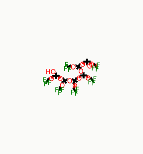 CC(CO)(COCC(F)(F)F)COCC(C)(COCC(F)(F)F)COCC(C)(COCC(F)(F)F)COCC(C)(COCC(F)(F)F)COCC(C)(COCC(F)(F)F)COCC(C)(CO)COCC(F)(F)F